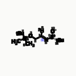 [2H]/C(CO[Si](C)(C)C(C)(C)C)=N\[S@+]([O-])C(C)(C)C